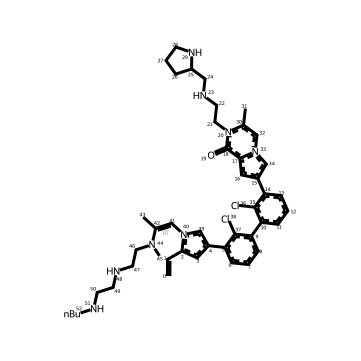 C=Cc1cc(-c2cccc(-c3cccc(-c4cc5c(=O)n(CCNCC6CCCN6)c(C)cn5c4)c3Cl)c2Cl)cn1/C=C(/C)N(C)CCNCCNCCCC